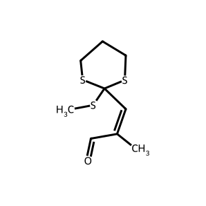 CSC1(C=C(C)C=O)SCCCS1